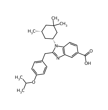 CC(C)Oc1ccc(Cc2nc3cc(C(=O)O)ccc3n2[C@@H]2C[C@H](C)CC(C)(C)C2)cc1